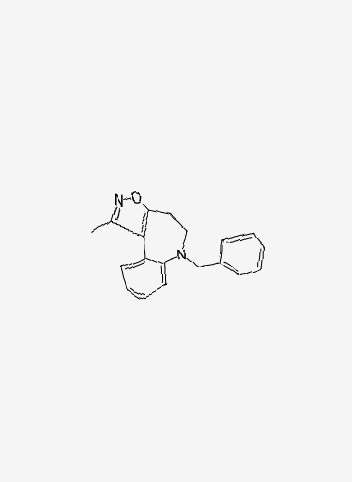 Cc1noc2c1-c1ccccc1N(Cc1ccccc1)CC2